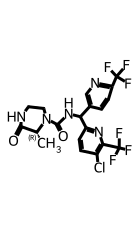 C[C@@H]1C(=O)NCCN1C(=O)NC(c1ccc(C(F)(F)F)nc1)c1ccc(Cl)c(C(F)(F)F)n1